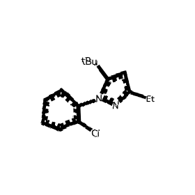 CCc1cc(C(C)(C)C)n(-c2ccccc2Cl)n1